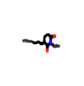 CCCCCCCCCCCCC1CCC(=O)N(OC(C)=O)C1=O